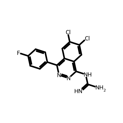 N=C(N)Nc1nnc(-c2ccc(F)cc2)c2cc(Cl)c(Cl)cc12